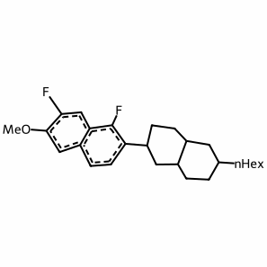 CCCCCCC1CCC2CC(c3ccc4cc(OC)c(F)cc4c3F)CCC2C1